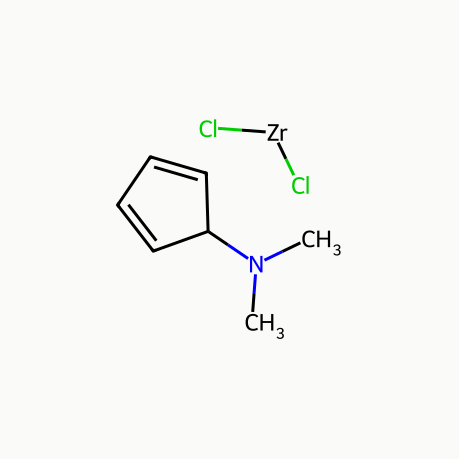 CN(C)C1C=CC=C1.[Cl][Zr][Cl]